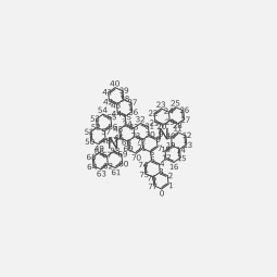 c1ccc2cc(-c3cc(N(c4cccc5ccccc45)c4cccc5ccccc45)c4ccc5c(-c6ccc7ccccc7c6)cc(N(c6cccc7ccccc67)c6cccc7ccccc67)c6ccc3c4c56)ccc2c1